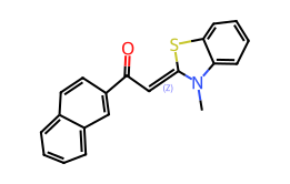 CN1/C(=C/C(=O)c2ccc3ccccc3c2)Sc2ccccc21